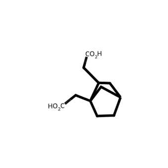 O=C(O)CC1CC2CCC1(CC(=O)O)C2